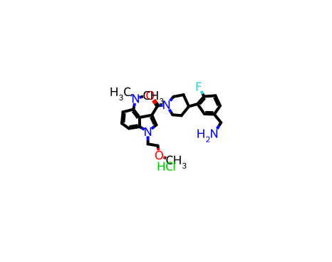 COCCn1cc(C(=O)N2CCC(c3cc(CN)ccc3F)CC2)c2c(N(C)C)cccc21.Cl